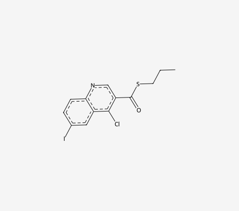 CCCSC(=O)c1cnc2ccc(I)cc2c1Cl